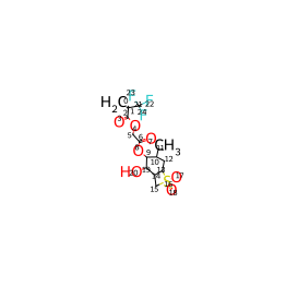 C=C(C(=O)OCC(=O)OC1C(C)CC2C(CS2(=O)=O)C1O)C(F)(F)F